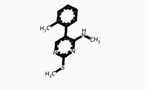 CNc1nc(SC)ncc1-c1ccccc1C